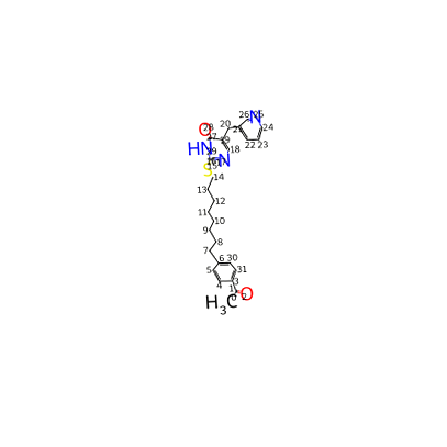 CC(=O)c1ccc(CCCCCCCCSc2ncc(Cc3cccnc3)c(=O)[nH]2)cc1